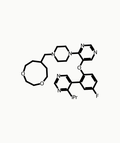 CC(C)c1ncncc1-c1cc(F)ccc1Oc1cncnc1N1CCN(CC2CCOCCOCC2)CC1